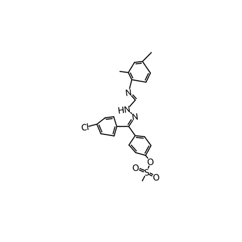 Cc1ccc(N=CNN=C(c2ccc(Cl)cc2)c2ccc(OS(C)(=O)=O)cc2)c(C)c1